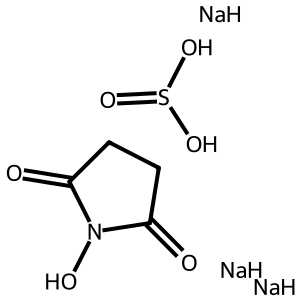 O=C1CCC(=O)N1O.O=S(O)O.[NaH].[NaH].[NaH]